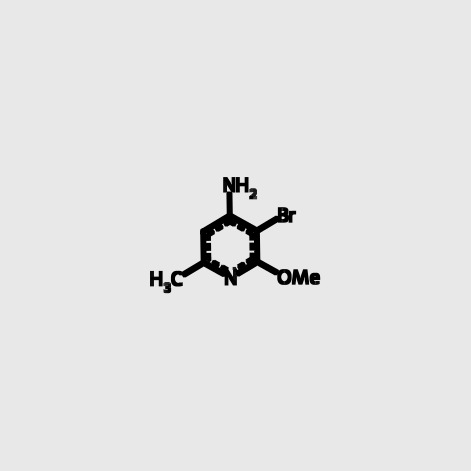 COc1nc(C)cc(N)c1Br